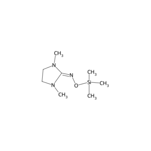 CN1CCN(C)C1=NO[Si](C)(C)C